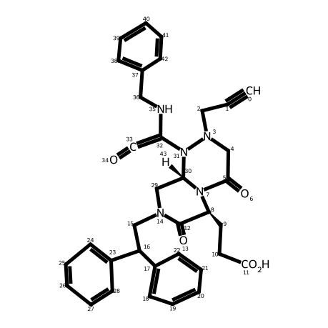 C#CCN1CC(=O)N2[C@@H](CCC(=O)O)C(=O)N(CC(c3ccccc3)c3ccccc3)C[C@@H]2N1C(=C=O)NCc1ccccc1